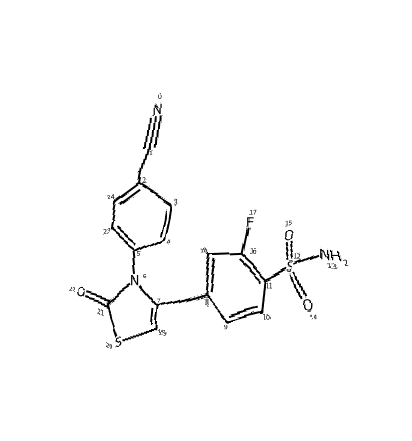 N#Cc1ccc(-n2c(-c3ccc(S(N)(=O)=O)c(F)c3)csc2=O)cc1